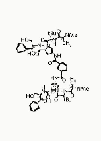 CN[C@@H](C)C(=O)NC(C(=O)N1C[C@@H](NC(=O)c2cccc(C(=O)N[C@H]3CC(C(=O)N[C@H](CO)[C@H](O)c4ccccc4)N(C(=O)[C@@H](NC(=O)[C@H](C)NC)C(C)(C)C)C3)c2)C[C@H]1C(=O)N[C@H](CO)[C@@H](O)c1ccccc1)C(C)(C)C